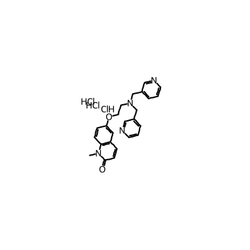 Cl.Cl.Cl.Cn1c(=O)ccc2cc(OCCN(Cc3cccnc3)Cc3cccnc3)ccc21